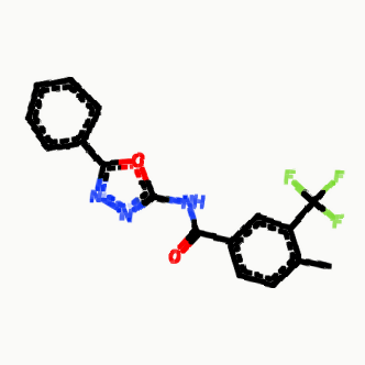 Cc1ccc(C(=O)Nc2nnc(-c3ccccc3)o2)cc1C(F)(F)F